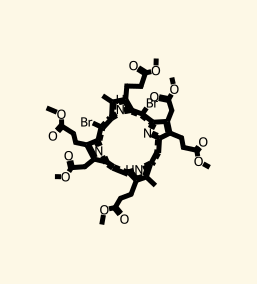 COC(=O)CCC1=C(CC(=O)OC)c2nc1cc1[nH]c(cc3nc(c(Br)c4[nH]c(c2Br)c(CCC(=O)OC)c4C)C(CCC(=O)OC)=C3CC(=O)OC)c(CCC(=O)OC)c1C